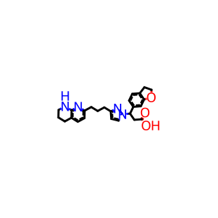 O=C(O)CC(c1ccc2c(c1)OCC2)n1ccc(CCCc2ccc3c(n2)NCCC3)n1